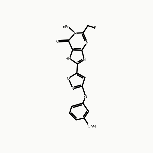 CCCn1c(CF)nc2nc(-c3cc(Oc4cccc(OC)c4)no3)[nH]c2c1=O